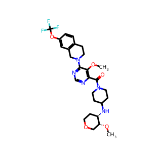 COc1c(C(=O)N2CCC(N[C@H]3CCOC[C@H]3OC)CC2)ncnc1N1CCc2ccc(OC(F)(F)F)cc2C1